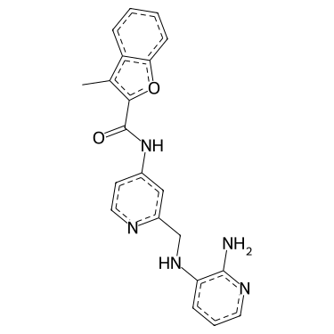 Cc1c(C(=O)Nc2ccnc(CNc3cccnc3N)c2)oc2ccccc12